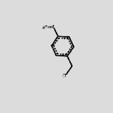 CCCCCc1ccc(CCl)cc1